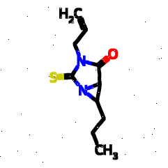 C=CCN1C(=O)C2C(CCC)N2C1=S